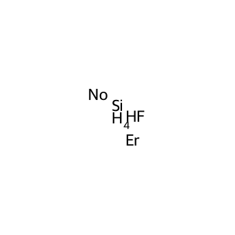 F.[Er].[No].[SiH4]